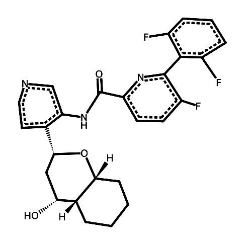 O=C(Nc1cnccc1[C@H]1C[C@@H](O)[C@H]2CCCC[C@H]2O1)c1ccc(F)c(-c2c(F)cccc2F)n1